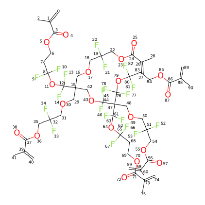 C=C(C)C(=O)OCCC(F)(F)OC(F)(F)C(COCC(F)(F)COC(=O)C(=C)C)(COCC(F)(F)COC(=O)C(=C)C)COC(F)(F)C(COCC(F)(F)COC(=O)C(=C)C)(C(F)(F)OC(F)(F)CCOC(=O)C(=C)C)C(F)(F)OC(F)(F)CCOC(=O)C(=C)C